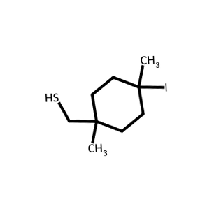 CC1(I)CCC(C)(CS)CC1